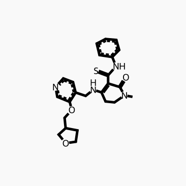 CN1CCC(NCc2ccncc2OCC2CCOC2)=C(C(=S)Nc2ccccc2)C1=O